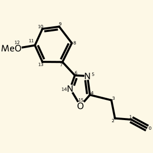 C#CCCc1nc(-c2cccc(OC)c2)no1